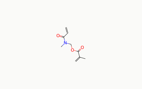 C=CC(=O)N(C)COC(=O)C(=C)C